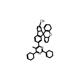 Cc1c(-c2ccc3c(c2)C2(C4=C(CCC=C4)OC4CCC=CC42)C2C=C(C#N)C=CC32)nc(C2=CCCCC2)nc1C1CC=CCC1